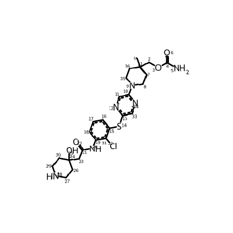 CC1(COC(N)=O)CCN(c2cnc(Sc3cccc(NC(=O)CC4(O)CCNCC4)c3Cl)cn2)CC1